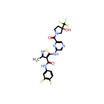 Cc1nsc(Nc2cncc(C(=O)N3CCC(O)(C(F)(F)F)C3)n2)c1C(=O)Nc1ccc(F)c(F)c1